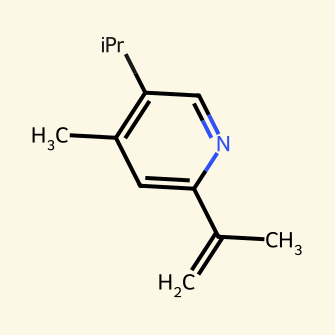 C=C(C)c1cc(C)c(C(C)C)cn1